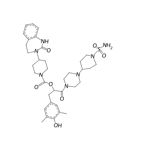 Cc1cc(CC(OC(=O)N2CCC(N3CCc4ccccc4NC3=O)CC2)C(=O)N2CCN(C3CCN(S(N)(=O)=O)CC3)CC2)cc(C)c1O